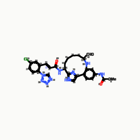 COC(=O)Nc1ccc2c(c1)N[C@H](C=O)CCCC[C@H](NC(=O)/C=C/c1cc(Cl)ccc1-n1cnnn1)c1nc-2c[nH]1